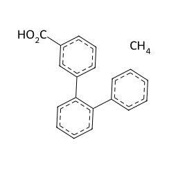 C.O=C(O)c1cccc(-c2ccccc2-c2ccccc2)c1